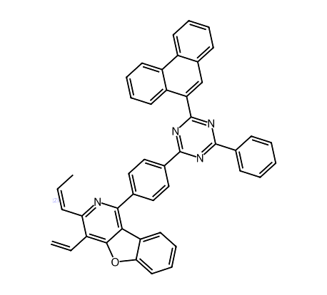 C=Cc1c(/C=C\C)nc(-c2ccc(-c3nc(-c4ccccc4)nc(-c4cc5ccccc5c5ccccc45)n3)cc2)c2c1oc1ccccc12